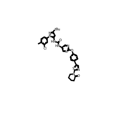 Cc1ccc(-n2nc(C(C)(C)C)cc2NC(=O)Nc2cnc(Oc3ccc(-c4cnc(N5CCCCC5=O)s4)cc3)nc2)cc1Cl